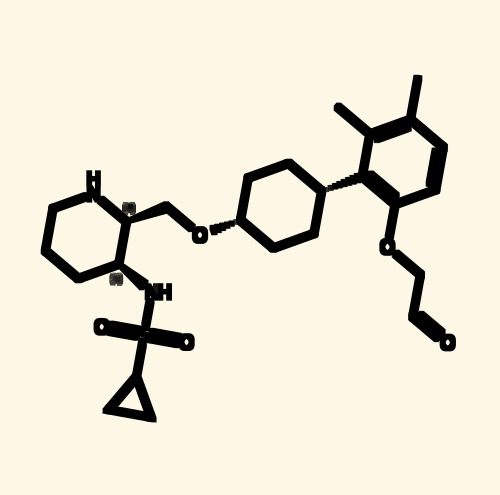 Cc1ccc(OCC=O)c([C@H]2CC[C@@H](OC[C@@H]3NCCC[C@@H]3NS(=O)(=O)C3CC3)CC2)c1C